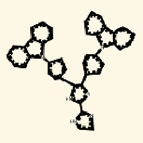 c1ccc2c(c1)c1ccccc1n2-c1ccc(-c2nc(-c3ncc[nH]3)[nH]c2-c2ccc(-n3c4ccccc4c4ccccc43)cc2)cc1